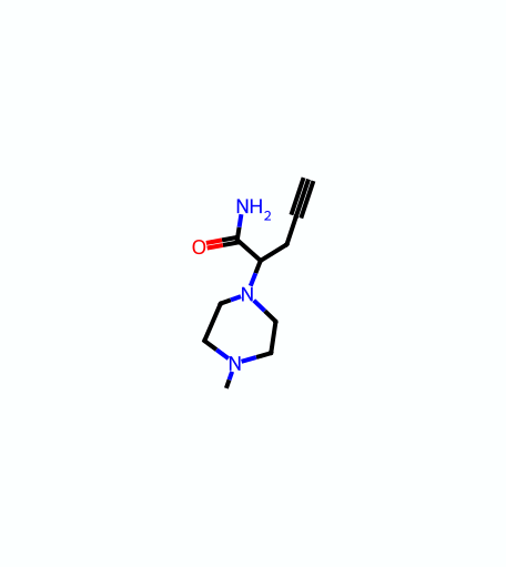 C#CCC(C(N)=O)N1CCN(C)CC1